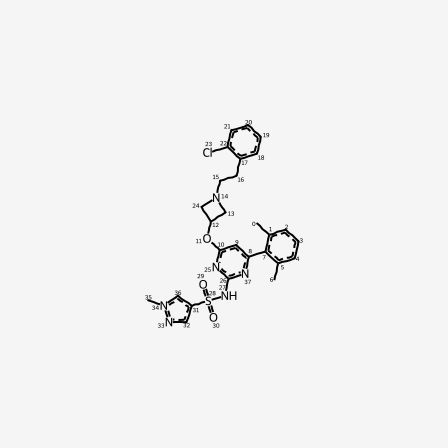 Cc1cccc(C)c1-c1cc(OC2CN(CCc3ccccc3Cl)C2)nc(NS(=O)(=O)c2cnn(C)c2)n1